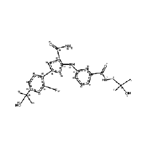 CC(C)(O)CNC(=O)c1cccc(Nc2sc(-c3ccc(C(C)(C)O)cc3F)cc2C(N)=O)n1